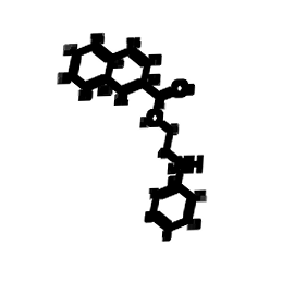 O=C(OCCNc1ccccc1)c1ccc2ccccc2c1